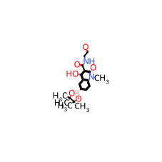 Cn1c(=O)c(C(=O)NCC=O)c(O)c2cc(B3OC(C)(C)C(C)(C)O3)ccc21